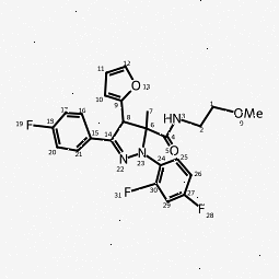 COCCNC(=O)C1(C)C(c2ccco2)C(c2ccc(F)cc2)=NN1c1ccc(F)cc1F